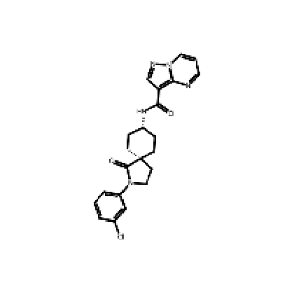 O=C(N[C@H]1CC[C@@]2(CCN(c3cccc(Cl)c3)C2=O)CC1)c1cnn2cccnc12